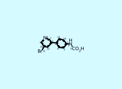 O=C(O)Nc1ccc(-c2cncc(Br)c2)cc1